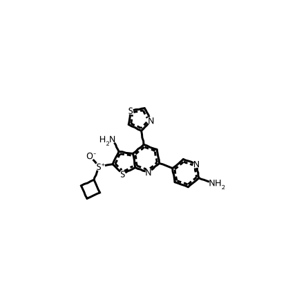 Nc1ccc(-c2cc(-c3cscn3)c3c(N)c([S+]([O-])C4CCC4)sc3n2)cn1